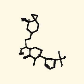 CC1C(=O)N(C(CO)CCN2CCC3(CC3)[C@H](O)C2)CCN1c1cccc(C(F)(F)F)c1